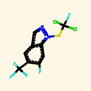 Fc1cc2c(cnn2SC(F)(Cl)Cl)cc1C(F)(F)F